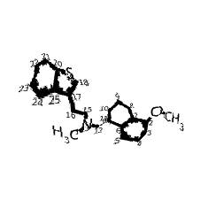 COc1cccc2c1CCC[C@H]2CN(C)CCc1csc2ccccc12